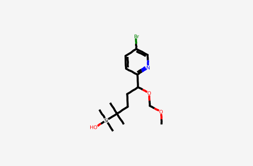 COCOC(CCC(C)(C)[Si](C)(C)O)c1ccc(Br)cn1